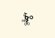 COC(=O)c1cc2c(N3CCCCC3)cc(OC(C)C)cc2[nH]1